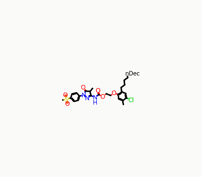 CCCCCCCCCCCCCCc1cc(Cl)c(C)cc1OCCOC(=O)NC1=NN(c2ccc(S(C)(=O)=O)cc2)C(=O)C1C